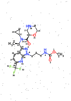 COC(=O)NCCCn1nc([C@@H](C)N(C(=O)[C@H]2CNCCO2)C2CC2)c2ccc(C(F)(F)F)nc21